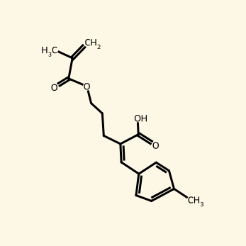 C=C(C)C(=O)OCCCC(=Cc1ccc(C)cc1)C(=O)O